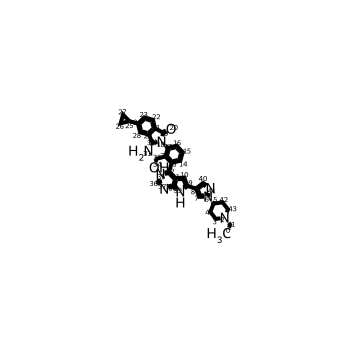 CCN1CCC(n2cc(-c3cc4c(-c5cccc(N6C(=O)c7ccc(C8CC8)cc7[C@@H]6N)c5CO)ncnc4[nH]3)cn2)CC1